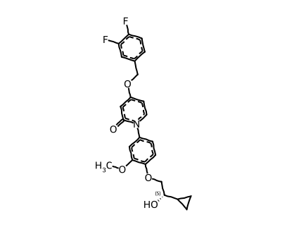 COc1cc(-n2ccc(OCc3ccc(F)c(F)c3)cc2=O)ccc1OC[C@@H](O)C1CC1